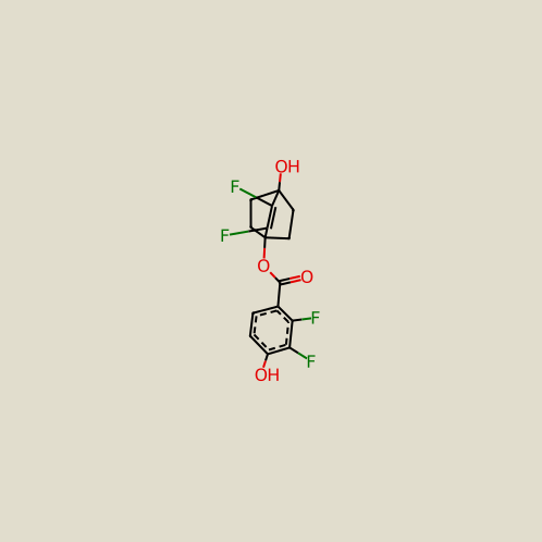 O=C(OC12CCC(O)(CC1)C(F)=C2F)c1ccc(O)c(F)c1F